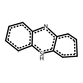 [c]1cccc2nc3ccccc3[siH]c12